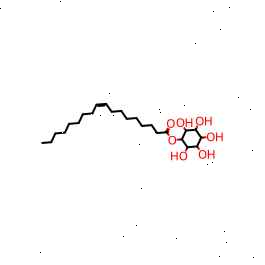 CCCCCCCC/C=C\CCCCCCCC(=O)OC1C(O)C(O)C(O)C(O)C1O